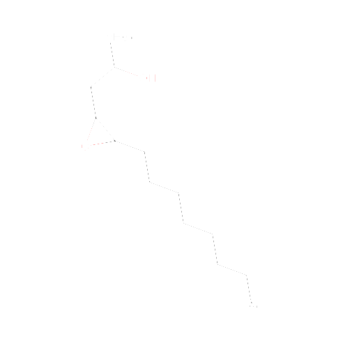 CCCCCCC(O)CC1OC1CCCCCCCC(C)=O